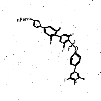 CCCCCc1ccc(-c2cc(F)c(-c3cc(F)c(C(F)(F)Oc4ccc(-c5cc(F)c(F)c(F)c5)cc4)c(F)c3)c(F)c2)cc1